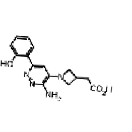 Nc1nnc(-c2ccccc2O)cc1N1CC(CC(=O)O)C1